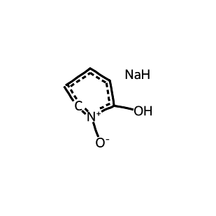 [NaH].[O-][n+]1ccccc1O